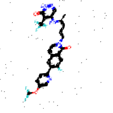 C[C@@H](CCCn1ccc2cc(-c3ccc(OC(F)F)cn3)c(F)cc2c1=O)Nc1cn[nH]c(=O)c1C(F)(F)F